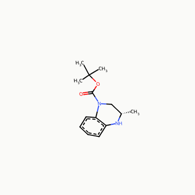 C[C@H]1CN(C(=O)OC(C)(C)C)c2ccccc2N1